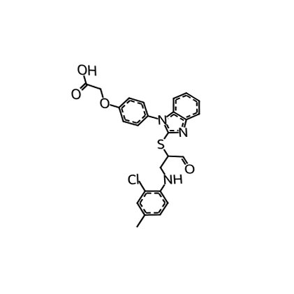 Cc1ccc(NCC(C=O)Sc2nc3ccccc3n2-c2ccc(OCC(=O)O)cc2)c(Cl)c1